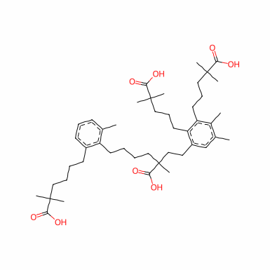 Cc1cc(CCC(C)(CCCCc2c(C)cccc2CCCCC(C)(C)C(=O)O)C(=O)O)c(CCCC(C)(C)C(=O)O)c(CCCC(C)(C)C(=O)O)c1C